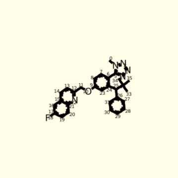 Cn1nnnc1-c1ccc(OCc2ccc3cc(F)ccc3n2)cc1C(c1ccccc1)C(C)(C)C